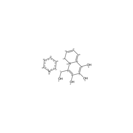 OCC1=C(O)C(O)=C(O)C2=CC=CCN21.c1ccncc1